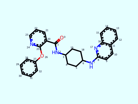 O=C(NC1CCC(Nc2ccc3ccccc3n2)CC1)c1cccnc1Oc1ccccc1